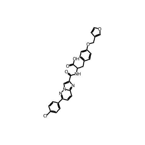 O=C(NC(Cc1ccc(OCc2ccoc2)cc1)C(=O)O)c1cn2nc(-c3ccc(Cl)cc3)ccc2n1